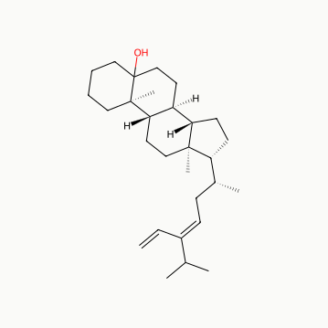 C=CC(=CC[C@@H](C)[C@H]1CC[C@H]2[C@@H]3CCC4(O)CCCC[C@]4(C)[C@H]3CC[C@]12C)C(C)C